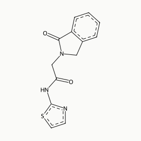 O=C(CN1Cc2ccccc2C1=O)Nc1nccs1